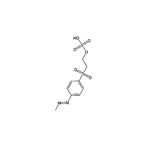 C/N=N/c1ccc(S(=O)(=O)CCOS(=O)(=O)O)cc1